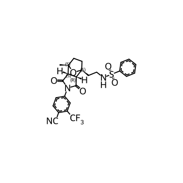 C[C@@]12CC[C@@](CCNS(=O)(=O)c3ccccc3)(O1)[C@@H]1C(=O)N(c3ccc(C#N)c(C(F)(F)F)c3)C(=O)[C@@H]12